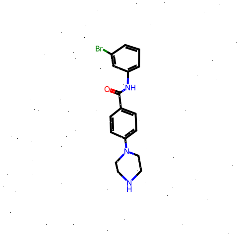 O=C(Nc1cccc(Br)c1)c1ccc(N2CCNCC2)cc1